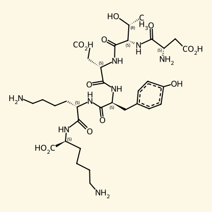 C[C@@H](O)[C@H](NC(=O)[C@@H](N)CC(=O)O)C(=O)N[C@@H](CC(=O)O)C(=O)N[C@@H](Cc1ccc(O)cc1)C(=O)N[C@@H](CCCCN)C(=O)N[C@@H](CCCCN)C(=O)O